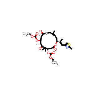 C/C1=C/C[C@@H](/C(C)=C/c2csc(C)n2)OC(=O)C[C@H](OC(=O)OCC(Cl)(Cl)Cl)C(C)(C)C(=O)[C@H](C)[C@@H](OC(=O)OCC(Cl)(Cl)Cl)[C@H](C)C(=O)CC1